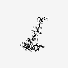 CCN1CC[15N]([13CH2][13CH]2[13CH2][13CH2][13CH2][15N]2[13CH2][13C](=O)NCC[13CH2]C(=O)NCC[13CH2]C(=O)O)CC1